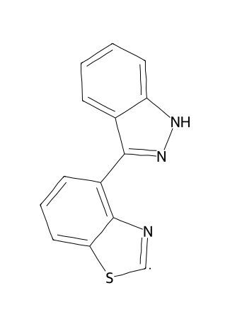 [c]1nc2c(-c3n[nH]c4ccccc34)cccc2s1